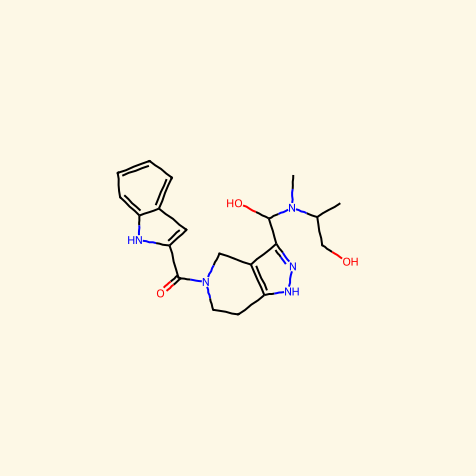 CC(CO)N(C)C(O)c1n[nH]c2c1CN(C(=O)c1cc3ccccc3[nH]1)CC2